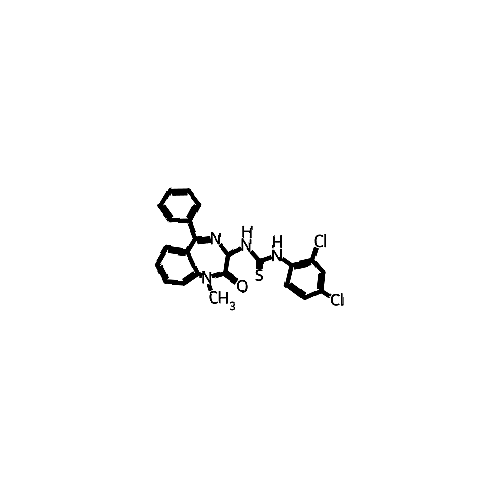 CN1C(=O)C(NC(=S)Nc2ccc(Cl)cc2Cl)N=C(c2ccccc2)c2ccccc21